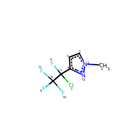 Cn1ccc(C(F)(Cl)C(F)(F)F)n1